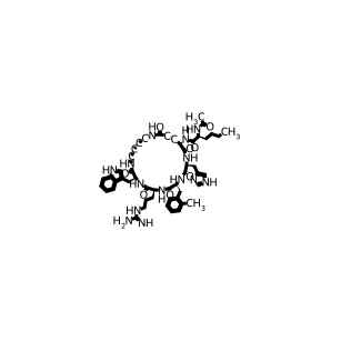 CCCC[C@H](NC(C)=O)C(=O)N[C@H]1CCC(=O)NCCCCNC(=O)[C@H](Cc2c[nH]c3ccccc23)NC(=O)[C@H](CCCNC(=N)N)NC(=O)[C@@H](Cc2ccccc2C)NC(=O)[C@H](Cc2c[nH]cn2)NC1=O